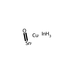 [Cu].[InH3].[O]=[Sn]